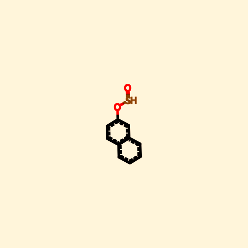 O=[SH]Oc1ccc2ccccc2c1